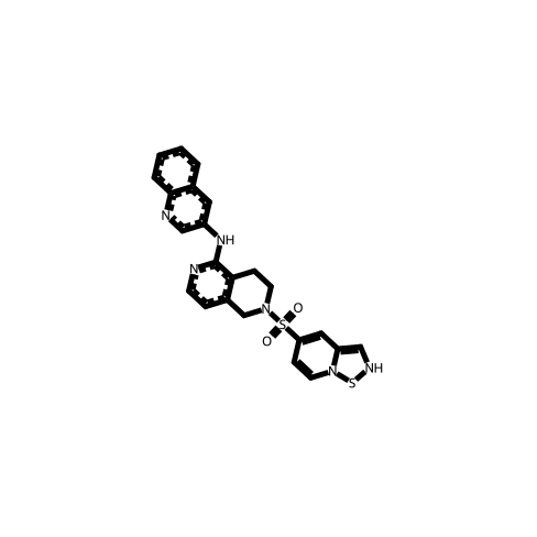 O=S(=O)(C1=CC2=CNSN2C=C1)N1CCc2c(ccnc2Nc2cnc3ccccc3c2)C1